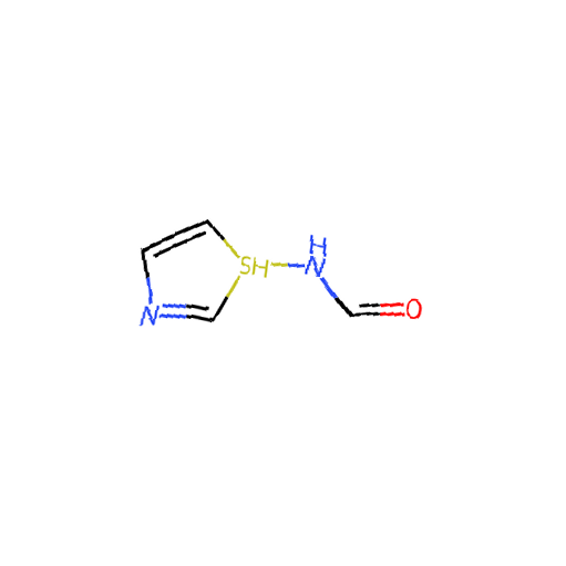 O=CN[SH]1C=CN=C1